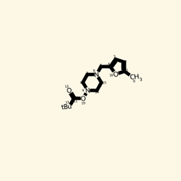 Cc1ccc(CN2CCN(OC(=O)C(C)(C)C)CC2)o1